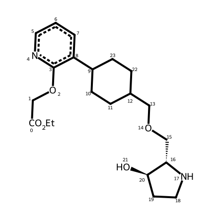 CCOC(=O)COc1ncccc1C1CCC(COC[C@@H]2NCC[C@H]2O)CC1